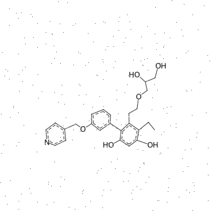 CCc1c(O)cc(O)c(-c2cccc(OCc3ccncc3)c2)c1CCOCC(O)CO